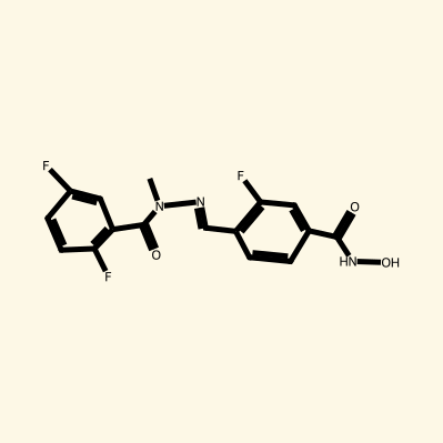 CN(N=Cc1ccc(C(=O)NO)cc1F)C(=O)c1cc(F)ccc1F